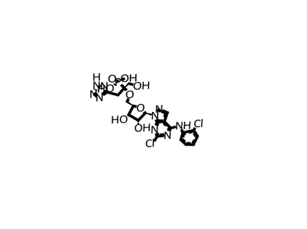 O=P(O)(O)[C@@](CO)(Cc1nn[nH]n1)OC[C@H]1O[C@@H](n2ncc3c(Nc4ccccc4Cl)nc(Cl)nc32)[C@H](O)[C@@H]1O